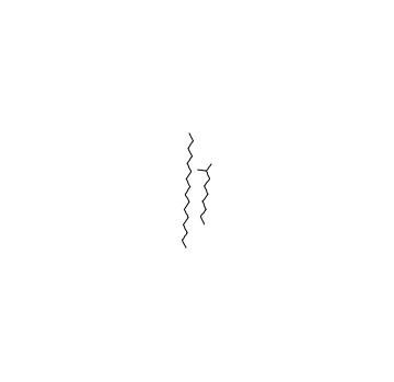 CCCCCCCC(C)C.CCCCCCCCCCCCCCCC